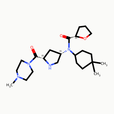 CN1CCN(C(=O)[C@@H]2C[C@H](N(C(=O)[C@@H]3CCCO3)C3CCC(C)(C)CC3)CN2)CC1